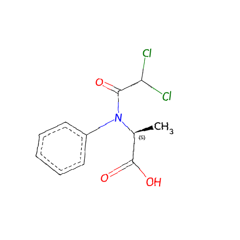 C[C@@H](C(=O)O)N(C(=O)C(Cl)Cl)c1ccccc1